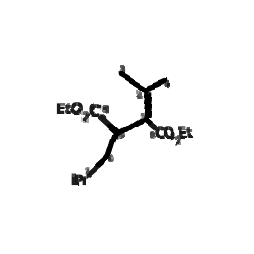 CCOC(=O)C(=C(C)C)C(CC(C)C)C(=O)OCC